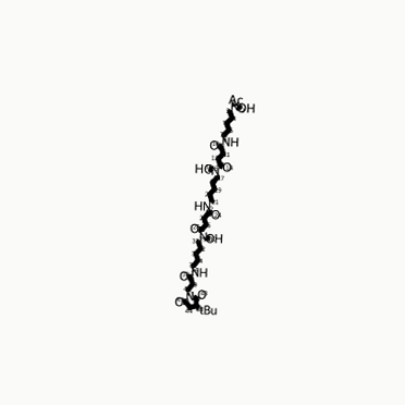 CC(=O)N(O)CCCCCNC(=O)CCC(=O)N(O)CCCCCNC(=O)CCC(=O)N(O)CCCCCNC(=O)CCN1C(=O)CC(C(C)(C)C)C1=O